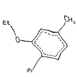 CCOc1cc(C)ccc1C(C)C